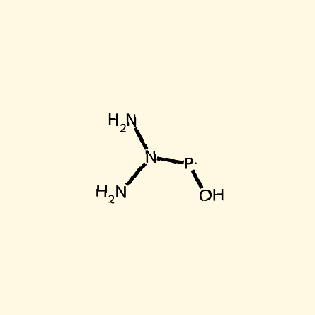 NN(N)[P]O